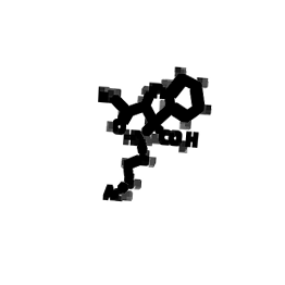 CCC(=O)C(C(C)C)[C@](NSCSC(C)=O)(C(=O)O)c1ccccc1